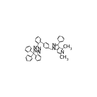 Cc1cc2c(c(C)n1)c(-c1ccccc1)nn2Cc1ccc(-c2ccccc2-c2nnn(C(c3ccccc3)(c3ccccc3)c3ccccc3)n2)cc1